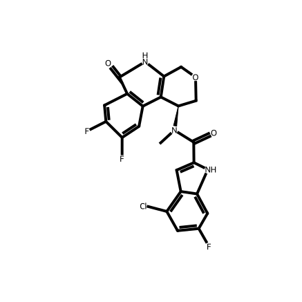 CN(C(=O)c1cc2c(Cl)cc(F)cc2[nH]1)[C@@H]1COCc2[nH]c(=O)c3cc(F)c(F)cc3c21